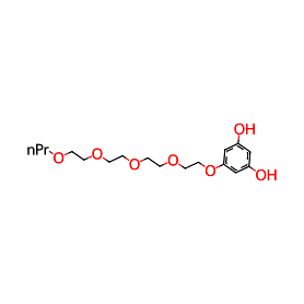 CCCOCCOCCOCCOCCOc1cc(O)cc(O)c1